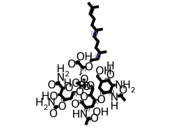 CC(=O)N[C@H]1C(O)[C@H](O[C@@H]2CC(CO)[C@@H](O)C(N)[C@@H]2NC(C)=O)C(CO)O[C@H]1OC1[C@H](OP(=O)(O)OC[C@@H](OC/C=C(/C)CC/C=C(\C)CCC=C(C)C)C(=O)O)OC(C(N)=O)C(O)[C@@H]1OC(N)=O